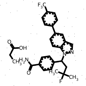 CC(C)(F)CC(c1ccc(C(N)=O)cc1)n1ncc2cc(-c3ccc(C(F)(F)F)cc3)ccc21.CCC(=O)O